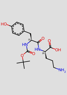 CC(C)(C)OC(=O)N[C@@H](Cc1ccc(O)cc1)C(=O)N[C@H](CCCN)C(=O)O